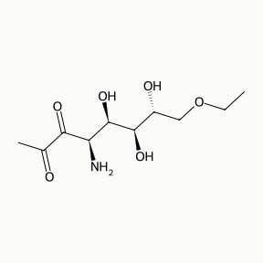 CCOC[C@@H](O)[C@@H](O)[C@H](O)[C@@H](N)C(=O)C(C)=O